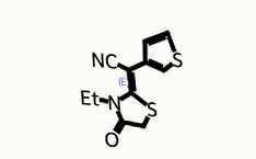 CCN1C(=O)CS/C1=C(/C#N)c1ccsc1